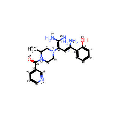 CC1CN(C(/C=C(\N)c2ccccc2O)=C(N)N)CCN1C(=O)c1cccnc1